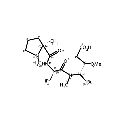 CC[C@H](C)[C@@H](C(CC(=O)O)OC)N(C)C(=O)[C@@H](NC(=O)[C@]1(C)CCCN1C)C(C)C